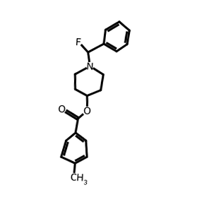 Cc1ccc(C(=O)OC2CCN(C(F)c3ccccc3)CC2)cc1